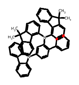 CC1(C)c2ccccc2-c2c(N(c3cc(-n4c5ccccc5c5ccccc54)ccc3-c3ccccc3)c3cccc4c3-c3ccccc3C4(C)C)cccc21